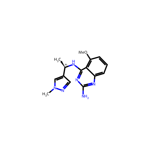 COc1cccc2nc(N)nc(N[C@H](C)c3cnn(C)c3)c12